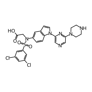 O=C(O)CN(c1ccc2c(ccn2-c2cncc(N3CCNCC3)n2)c1)S(=O)(=O)c1cc(Cl)cc(Cl)c1